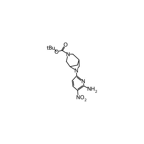 CC(C)(C)OC(=O)N1CC2CC(C1)N(c1ccc([N+](=O)[O-])c(N)n1)C2